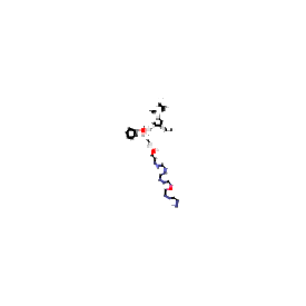 CC/C=C\C/C=C\C/C=C\C/C=C\C/C=C\C/C=C\CCC(=O)NCCNP(=O)(OC[C@H]1OC(n2cc(C)c(=O)[nH]c2=O)C[C@@H]1N=[N+]=[N-])Oc1ccccc1